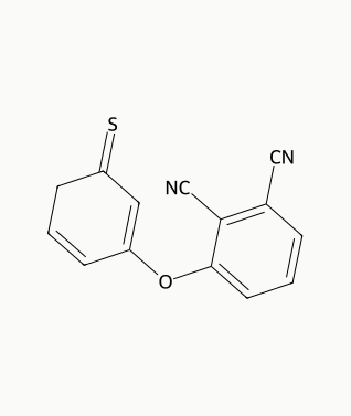 N#Cc1cccc(OC2=CC(=S)CC=C2)c1C#N